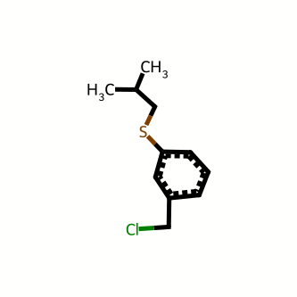 CC(C)CSc1cccc(CCl)c1